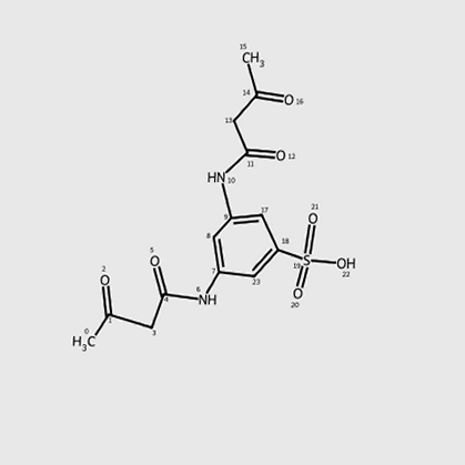 CC(=O)CC(=O)Nc1cc(NC(=O)CC(C)=O)cc(S(=O)(=O)O)c1